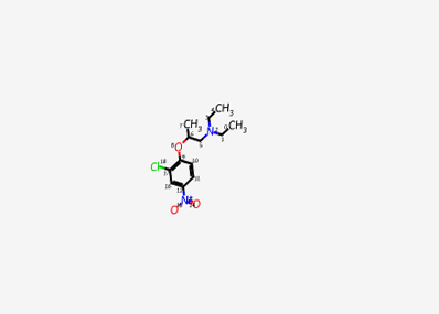 CCN(CC)CC(C)Oc1ccc([N+](=O)[O-])cc1Cl